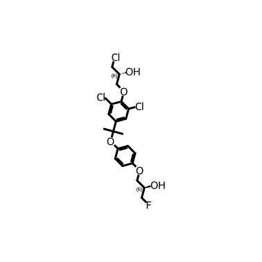 CC(C)(Oc1ccc(OC[C@@H](O)CF)cc1)c1cc(Cl)c(OC[C@@H](O)CCl)c(Cl)c1